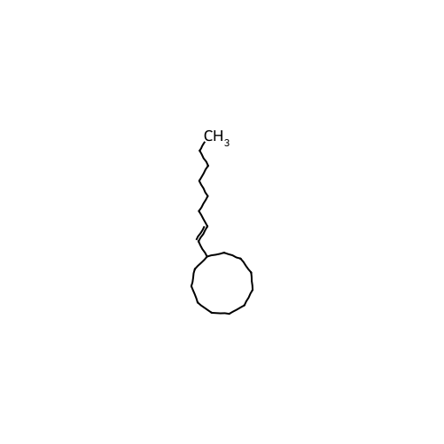 CCCCCCC=CC1CCCCCCCCCC1